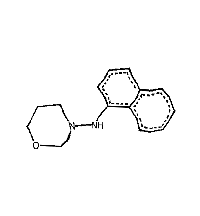 c1ccc2c(NN3CCCOC3)cccc2c1